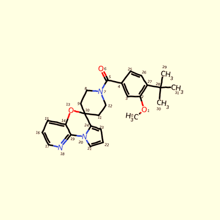 COc1cc(C(=O)N2CCC3(CC2)Oc2cccnc2-n2cccc23)ccc1C(C)(C)C